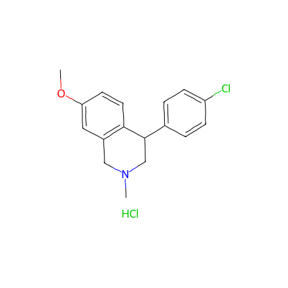 COc1ccc2c(c1)CN(C)CC2c1ccc(Cl)cc1.Cl